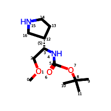 COCC(NC(=O)OC(C)(C)C)[C@H]1CCNC1